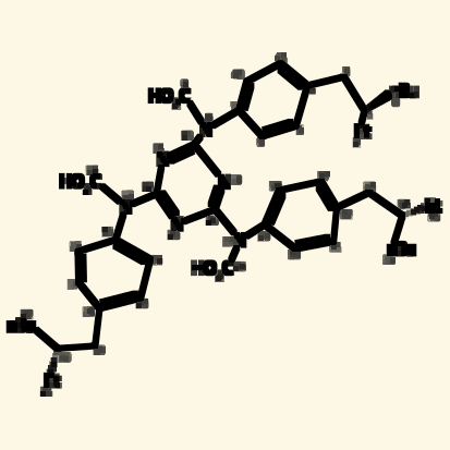 CCCC[C@@H](CC)Cc1ccc(N(C(=O)O)c2nc(N(C(=O)O)c3ccc(C[C@H](CC)CCCC)cc3)nc(N(C(=O)O)c3ccc(C[C@H](CC)CCCC)cc3)n2)cc1